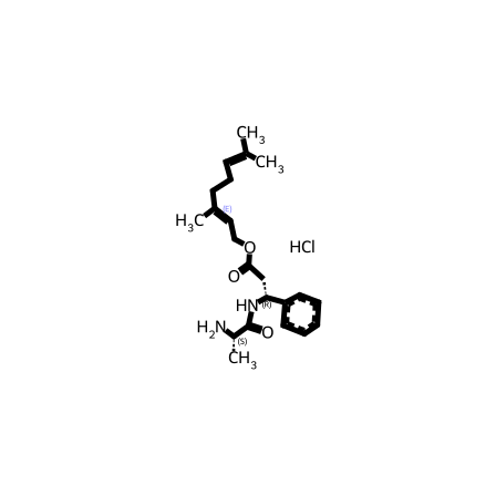 CC(C)=CCC/C(C)=C/COC(=O)C[C@@H](NC(=O)[C@H](C)N)c1ccccc1.Cl